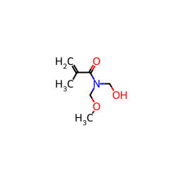 C=C(C)C(=O)N(CO)COC